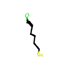 SCCCCCCCl